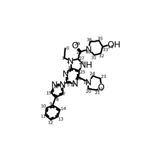 CCN1c2nc(-n3cc(-c4ccccc4)cn3)nc(N3CCOCC3)c2NC1C(=O)N1CCC(O)CC1